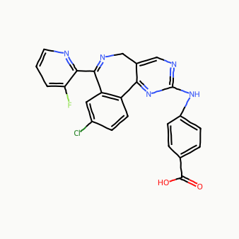 O=C(O)c1ccc(Nc2ncc3c(n2)-c2ccc(Cl)cc2C(c2ncccc2F)=NC3)cc1